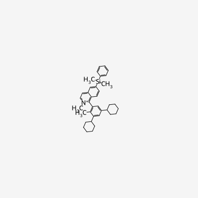 Cc1c(-c2c3ccc([Si](C)(C)c4ccccc4)cc3cc[n+]2C)cc(C2CCCCC2)cc1C1CCCCC1